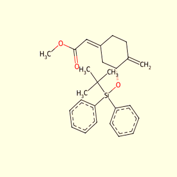 C=C1CCC(=CC(=O)OC)C[C@H]1O[Si](c1ccccc1)(c1ccccc1)C(C)(C)C